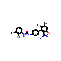 CCc1cccc(NC(=O)Nc2ccc(-c3c(CC)c(CC)cc4onc(N)c34)cc2)c1CC